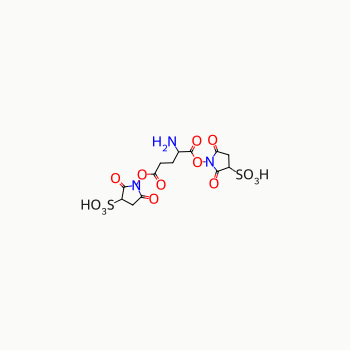 NC(CCC(=O)ON1C(=O)CC(S(=O)(=O)O)C1=O)C(=O)ON1C(=O)CC(S(=O)(=O)O)C1=O